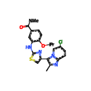 CNC(=O)c1ccc(OC(C)C)c(Nc2nc(-c3c(C)nc4ccc(Cl)cn34)cs2)c1